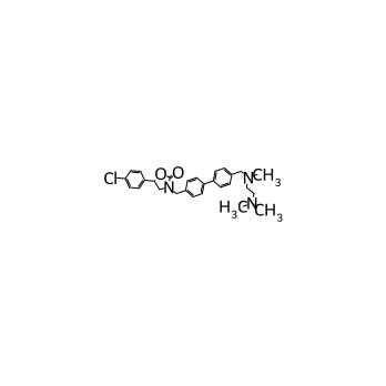 CN(C)CCN(C)Cc1ccc(-c2ccc(CN3CC(c4ccc(Cl)cc4)OC3=O)cc2)cc1